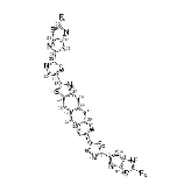 Fc1nc2sc(-c3ncc(-c4nc5cc6cc7sc(-c8cnc(-c9nc%10sc(F)nc%10s9)s8)nc7cc6cc5s4)s3)nc2s1